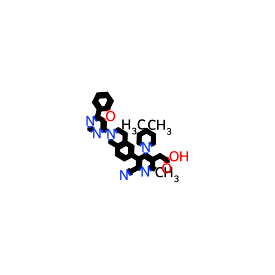 Cc1nc(C#N)c(-c2ccc3c(c2)CCN(c2ncnc4c2oc2ccccc24)C3)c(N2CCC(C)(C)CC2)c1CC(=O)O